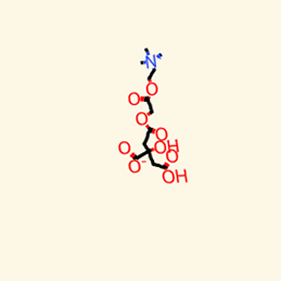 C[N+](C)(C)CCOC(=O)COC(=O)CC(O)(CC(=O)O)C(=O)[O-]